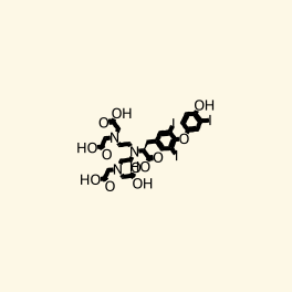 O=C(O)CN(CCN(CCN(CC(=O)O)CC(=O)O)[C@@H](Cc1cc(I)c(Oc2ccc(O)c(I)c2)c(I)c1)C(=O)O)CC(=O)O